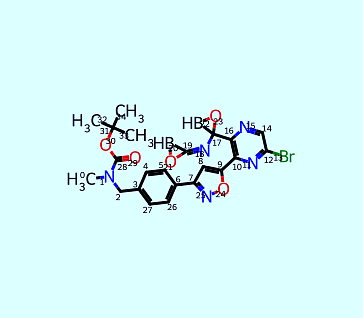 CN(Cc1ccc(-c2cc(-c3nc(Br)cnc3C3(/N=C4\BO4)BO3)on2)cc1)C(=O)OC(C)(C)C